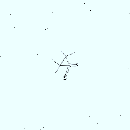 CC1(C)C(C)(C)S1(=S)=S